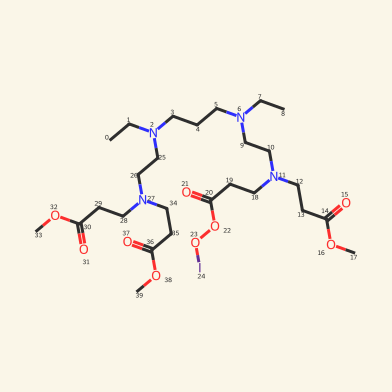 CCN(CCCN(CC)CCN(CCC(=O)OC)CCC(=O)OOI)CCN(CCC(=O)OC)CCC(=O)OC